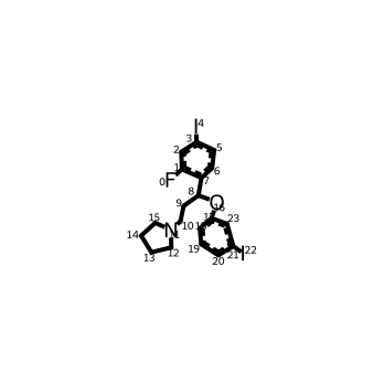 Fc1cc(I)ccc1C(CCN1CCCC1)Oc1cccc(I)c1